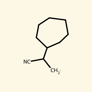 [CH2]C(C#N)C1CCCCCC1